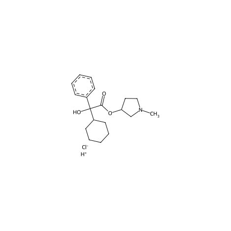 CN1CCC(OC(=O)C(O)(c2ccccc2)C2CCCCC2)C1.[Cl-].[H+]